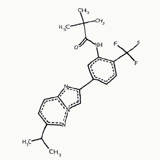 CC(C)c1ccc2nc(-c3ccc(C(F)(F)F)c(NC(=O)C(C)(C)C)c3)cn2n1